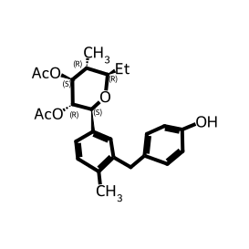 CC[C@H]1O[C@@H](c2ccc(C)c(Cc3ccc(O)cc3)c2)[C@H](OC(C)=O)[C@@H](OC(C)=O)[C@@H]1C